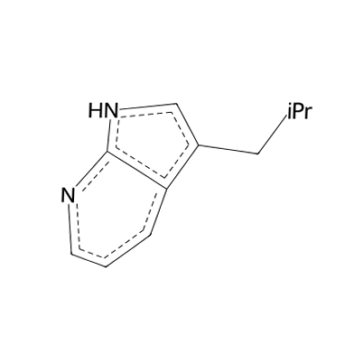 CC(C)Cc1c[nH]c2ncccc12